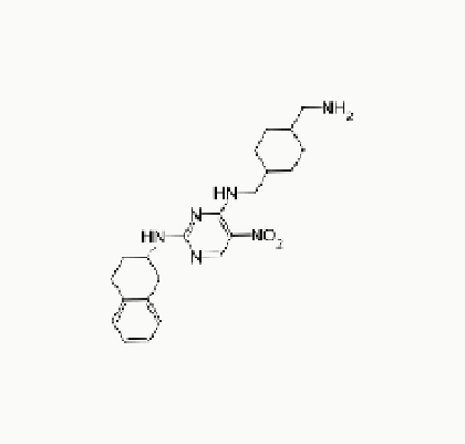 NCC1CCC(CNc2nc(N[C@H]3CCc4ccccc4C3)ncc2[N+](=O)[O-])CC1